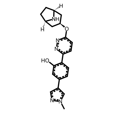 Cn1cc(-c2ccc(-c3ccc(O[C@H]4C[C@H]5CC[C@@H](C4)N5)nn3)c(O)c2)cn1